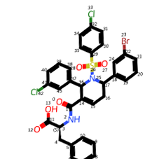 O=C(N[C@@H](Cc1ccccc1)C(=O)O)C1=CCC(c2cccc(Br)c2)N(S(=O)(=O)c2ccc(Cl)cc2)C1c1cccc(Cl)c1